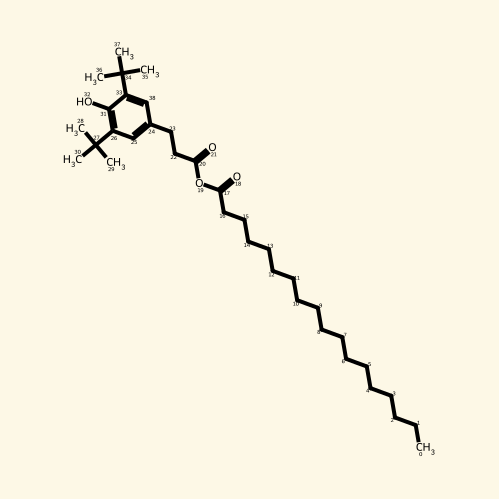 CCCCCCCCCCCCCCCCCC(=O)OC(=O)CCc1cc(C(C)(C)C)c(O)c(C(C)(C)C)c1